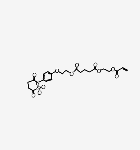 C=CC(=O)OCCOC(=O)CCCC(=O)OCCOc1ccc(N2C(=O)CCC(=O)S2(=O)=O)cc1